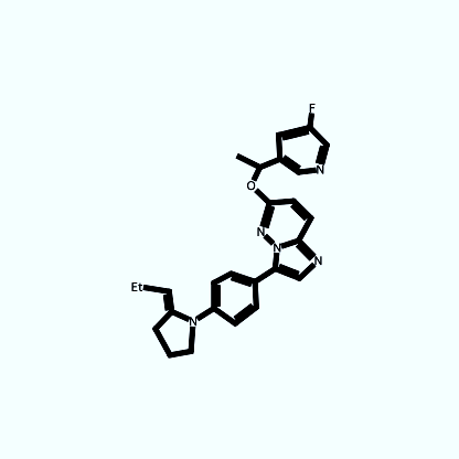 CC/C=C1\CCCN1c1ccc(-c2cnc3ccc(OC(C)c4cncc(F)c4)nn23)cc1